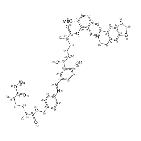 COc1ccc2cc3[n+](cc2c1OC(=O)N(C)CCNC(=O)c1cc(/N=N/c2ccc(COC(=O)N(C)CCN(C)C(=O)OC(C)(C)C)cc2)ccc1O)CCc1cc2c(cc1-3)OCO2